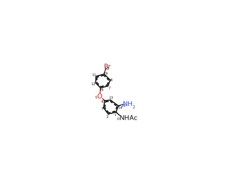 CC(=O)Nc1ccc(Oc2ccc(Br)cc2)cc1N